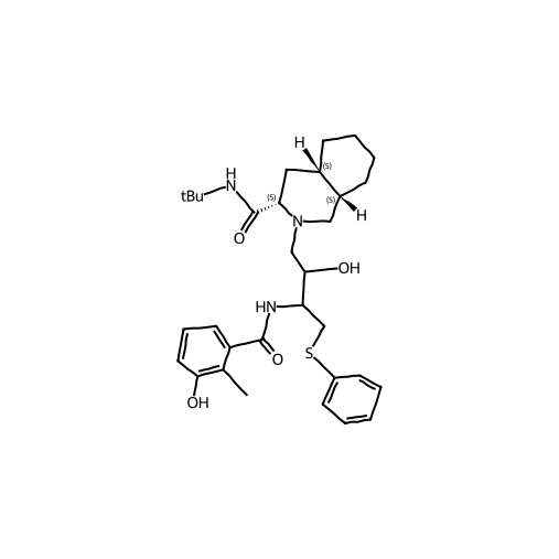 Cc1c(O)cccc1C(=O)NC(CSc1ccccc1)C(O)CN1C[C@H]2CCCC[C@H]2C[C@H]1C(=O)NC(C)(C)C